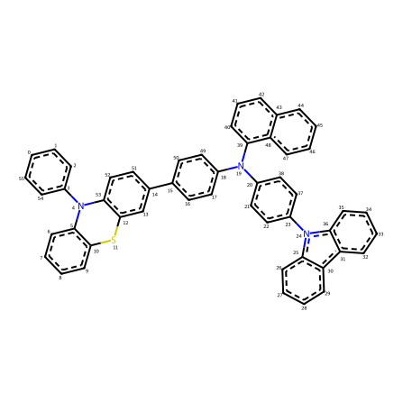 c1ccc(N2c3ccccc3Sc3cc(-c4ccc(N(c5ccc(-n6c7ccccc7c7ccccc76)cc5)c5cccc6ccccc56)cc4)ccc32)cc1